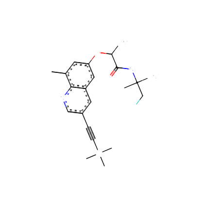 CSC(Oc1cc(C)c2ncc(C#C[Si](C)(C)C)cc2c1)C(=O)NC(C)(C#N)CF